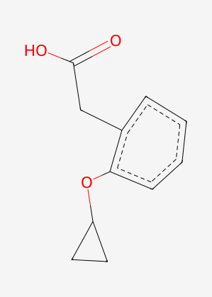 O=C(O)Cc1ccccc1OC1CC1